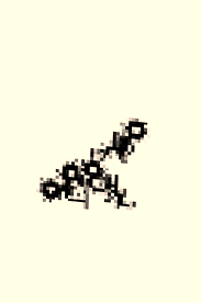 CCCc1nnc(CC(Nc2ccccc2C(=O)c2ccccc2)c2ccc(OCCc3nc(-c4ccccc4)oc3C)cc2)s1